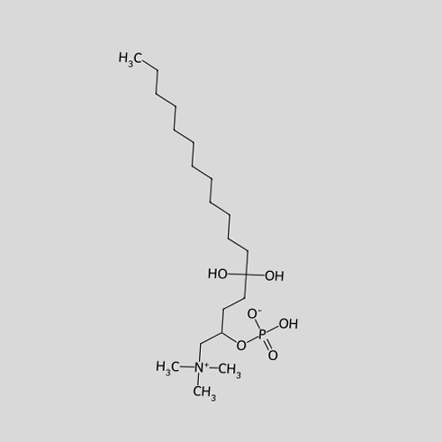 CCCCCCCCCCCCC(O)(O)CCC(C[N+](C)(C)C)OP(=O)([O-])O